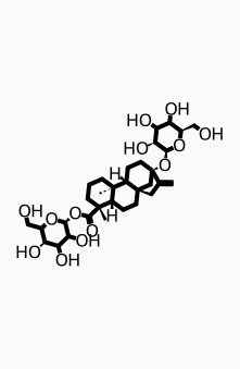 C=C1C[C@@]23CC[C@H]4[C@@](C)(CCC[C@@]4(C)C(=O)O[C@@H]4OC(CO)[C@@H](O)C(O)C4O)[C@@H]2CC[C@]1(O[C@@H]1O[C@H](CO)C(O)C(O)[C@H]1O)C3